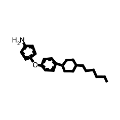 CCCCCCC1CCC(c2ccc(Oc3ccc(N)cc3)cc2)CC1